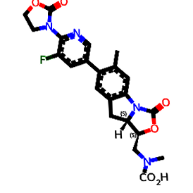 Cc1cc2c(cc1-c1cnc(N3CCOC3=O)c(F)c1)C[C@H]1[C@H](CN(C)C(=O)O)OC(=O)N21